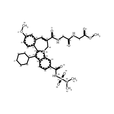 COC(=O)CNC(=O)CNC(=O)C1=Cc2cc(OC)ccc2-c2c(C3CCCCC3)c3ccc(C(=O)NS(=O)(=O)N(C)C)cc3n2C1